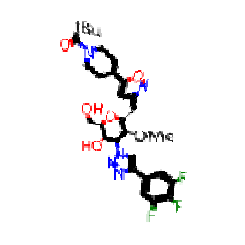 CO[C@@H]1[C@@H](n2cc(-c3cc(F)c(F)c(F)c3)nn2)[C@@H](O)[C@@H](CO)O[C@@H]1Cc1cc(C2CCN(C(=O)C(C)(C)C)CC2)on1